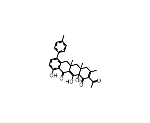 CC(=O)C1=C(C)C[C@@]2(C)C[C@@]3(C)Cc4c(-c5ccc(C)cc5)ccc(O)c4C(=O)C3=C(O)[C@@]2(O)C1=O